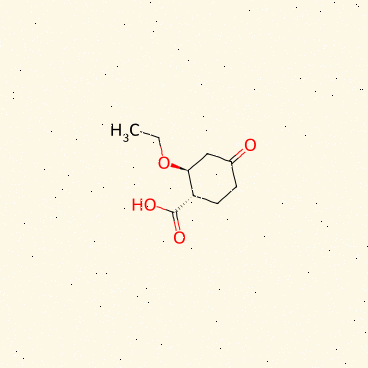 CCO[C@H]1CC(=O)CC[C@@H]1C(=O)O